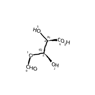 O=CO[C@H](O)[C@@H](O)C(=O)O